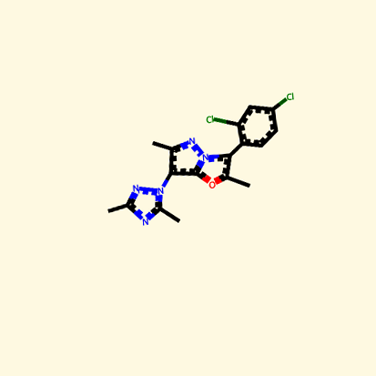 Cc1nc(C)n(-c2c(C)nn3c(-c4ccc(Cl)cc4Cl)c(C)oc23)n1